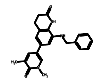 Cc1cc(-c2cc3c(c(NCc4ccccc4)c2)NC(=O)CC3)cn(C)c1=O